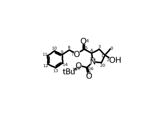 CC1(O)CC(C(=O)OCc2ccccc2)N(C(=O)OC(C)(C)C)C1